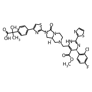 COC(=O)C1=C(CN2CCN3C(=O)N(c4nc(-c5ccc(C(C)(C)C(=O)O)cc5)cs4)C[C@@H]3C2)NC(c2nccs2)=N[C@H]1c1ccc(F)cc1Cl